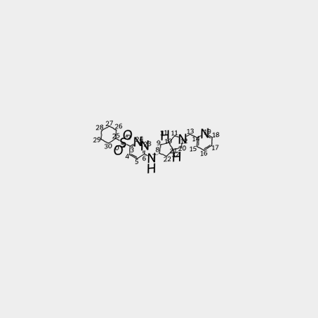 O=S(=O)(c1ccc(N[C@@H]2C[C@@H]3CN(Cc4ccccn4)C[C@@H]3C2)nn1)C1CCCCC1